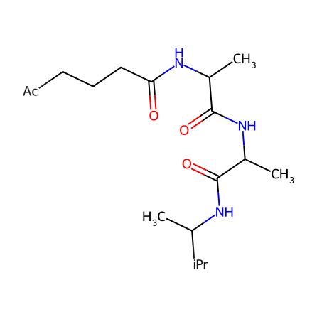 CC(=O)CCCC(=O)NC(C)C(=O)NC(C)C(=O)NC(C)C(C)C